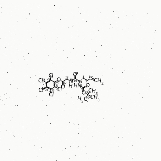 CSCC[C@H](NC(=O)OC(C)(C)C)C(=O)NCC(=O)Oc1c(Cl)c(Cl)c(Cl)c(Cl)c1Cl